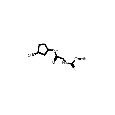 CC(C)(C)OC(=O)NCC(=O)NC1CCC(C=O)C1